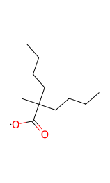 CCCCC(C)(CCCC)C([O])=O